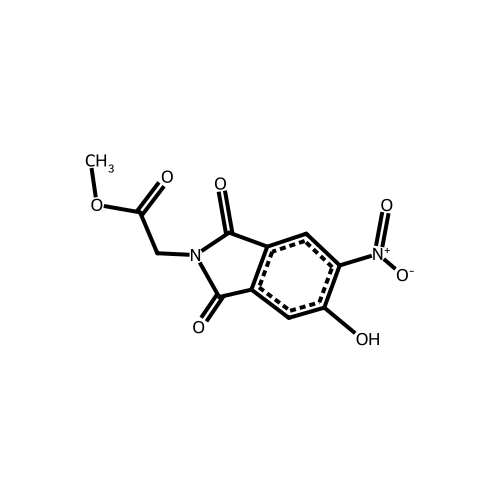 COC(=O)CN1C(=O)c2cc(O)c([N+](=O)[O-])cc2C1=O